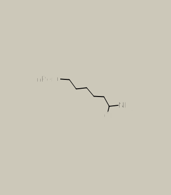 CCCCCCCCCCC(N)O